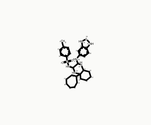 Cc1ccc(S(=O)(=O)NC2NC3(C4CCCCCC4)CCCCC3NC2Nc2ccc3c(c2)NSN3)cc1